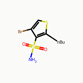 CCCCc1scc(Br)c1S(N)(=O)=O